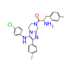 Cc1ccc(C[C@H](N)C(=O)N2CCn3c(nc(-c4ccc(F)cc4)c3Nc3ccc(Cl)cc3)C2)cc1